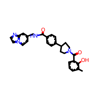 Cc1cccc(C(=O)N2CCC(c3ccc(C(=O)NCc4ccn5ccnc5c4)cc3)CC2)c1O